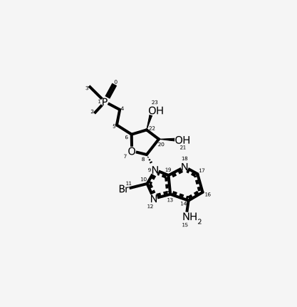 C=P(C)(C)CCC1O[C@@H](n2c(Br)nc3c(N)ccnc32)[C@H](O)[C@@H]1O